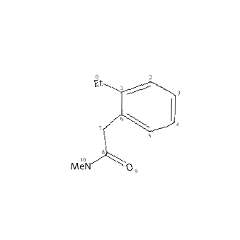 CCc1ccccc1CC(=O)NC